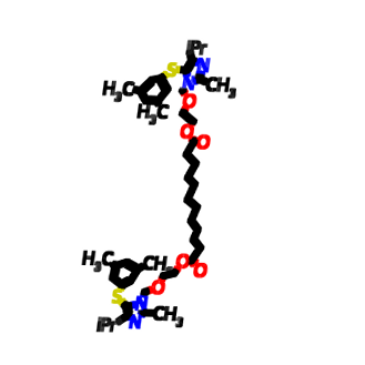 Cc1cc(C)cc(Sc2c(C(C)C)nc(C)n2COCCOC(=O)CCCCCCCCCCC(=O)OCCOCn2c(C)nc(C(C)C)c2Sc2cc(C)cc(C)c2)c1